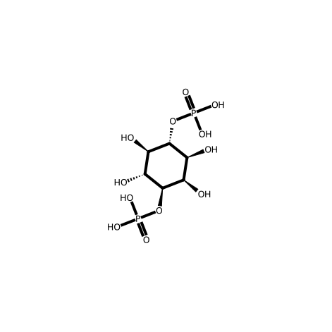 O=P(O)(O)O[C@H]1[C@H](O)[C@@H](O)[C@H](OP(=O)(O)O)[C@@H](O)[C@H]1O